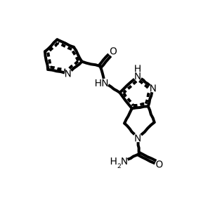 NC(=O)N1Cc2n[nH]c(NC(=O)c3ccccn3)c2C1